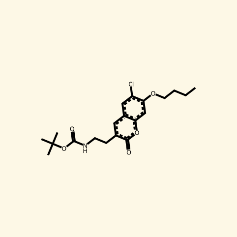 CCCCOc1cc2oc(=O)c(CCNC(=O)OC(C)(C)C)cc2cc1Cl